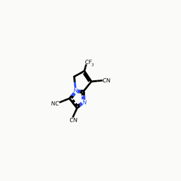 N#CC1=C(C(F)(F)F)Cn2c1nc(C#N)c2C#N